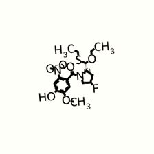 CCOC(SCC)[C@@H]1CC(F)CN1C(=O)c1cc(OC)c(O)cc1[N+](=O)[O-]